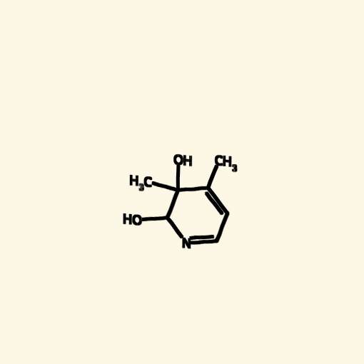 CC1=CC=NC(O)C1(C)O